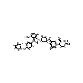 Nc1ncnc2c1c(-c1ccc(Oc3ccccc3)cc1)nn2C1CCN(Cc2cc(F)nc(C3CCC(=O)NC3=O)c2)CC1